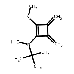 C=C1C(=C)C(N(C)C(C)(C)C)=C1NC